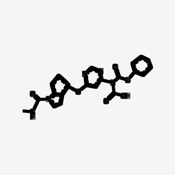 CNC(=O)n1ccc2c(Oc3cc(N(C(=O)O)C(=O)Oc4ccccc4)ncn3)cccc21